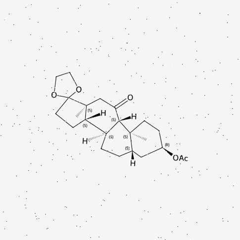 CC(=O)O[C@@H]1CC[C@@]2(C)[C@@H](CC[C@@H]3[C@@H]2C(=O)C[C@@]2(C)[C@H]3CCC23OCCO3)C1